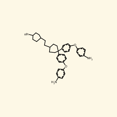 CCCC1CCC(CCC2CCC(c3ccc(Oc4ccc(N)cc4)cc3)(c3ccc(Oc4ccc(N)cc4)cc3)CC2)CC1